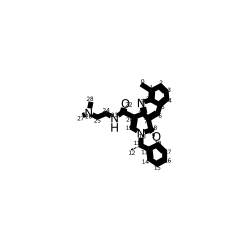 Cc1cccc2cc3c(=O)n([C@@H](C)c4ccccc4)cc(C(=O)NCCN(C)C)c3nc12